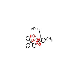 CCCCCCCCCCCCCCc1cc(C)ccc1S(=O)(=O)OC(CO)COC(c1ccccc1)(c1ccccc1)c1ccccc1